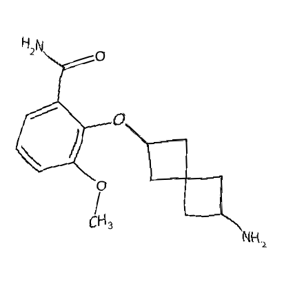 COc1cccc(C(N)=O)c1OC1CC2(CC(N)C2)C1